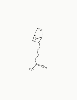 C=C(C)CCCCC1CC2C=CC1C2